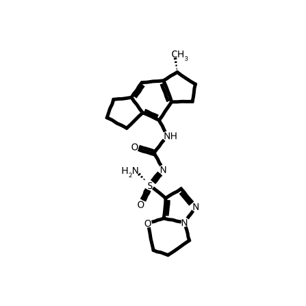 C[C@@H]1CCc2c1cc1c(c2NC(=O)N=[S@](N)(=O)c2cnn3c2OCCC3)CCC1